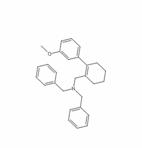 COc1cccc(C2=C(CN(Cc3ccccc3)Cc3ccccc3)CCCC2)c1